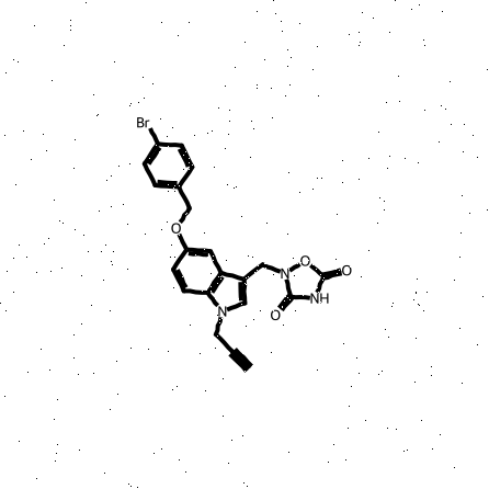 C#CCn1cc(Cn2oc(=O)[nH]c2=O)c2cc(OCc3ccc(Br)cc3)ccc21